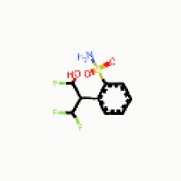 NS(=O)(=O)c1ccccc1C(C(O)F)C(F)F